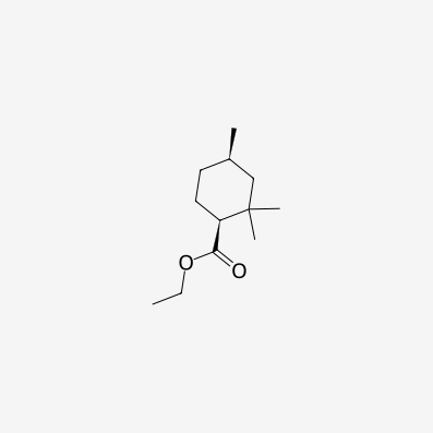 CCOC(=O)[C@H]1CC[C@@H](C)CC1(C)C